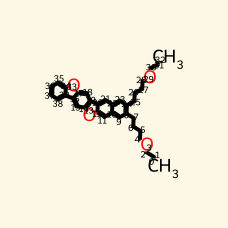 CCCOCCCCc1cc2cc3oc4cc5c(cc4c3cc2cc1CCCCOCCC)oc1ccccc15